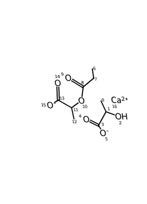 CC(O)C(=O)[O-].CCC(=O)OC(C)C(=O)[O-].[Ca+2]